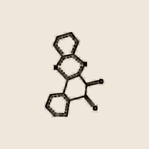 O=C1C(=O)c2nc3ccccc3nc2-c2ccccc21